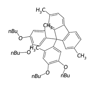 CCCCOc1cc(C)c(C2(c3cc(OCCCC)c(OCCCC)cc3C)c3cc(C)ccc3-c3ccc(C)cc32)cc1OCCCC